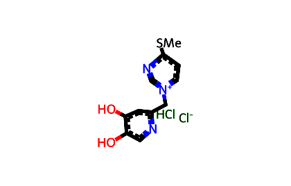 CSc1cc[n+](Cc2cc(O)c(O)cn2)cn1.Cl.[Cl-]